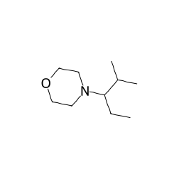 CCC(C(C)C)N1CCOCC1